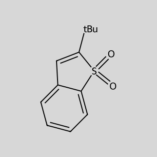 CC(C)(C)C1=Cc2ccccc2S1(=O)=O